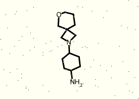 NC1CCC(N2CC3(CCCOC3)C2)CC1